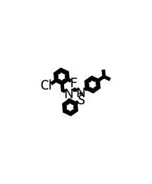 CC(C)c1ccc(N2CN(Cc3c(F)cccc3Cl)c3ccccc3S2)cc1